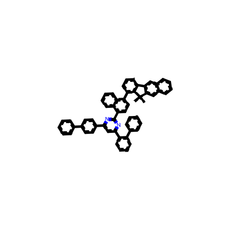 CC1(C)c2cc3ccccc3cc2-c2cccc(-c3ccc(-c4nc(-c5ccc(-c6ccccc6)cc5)cc(-c5ccccc5-c5ccccc5)n4)c4ccccc34)c21